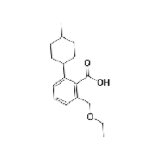 CCOCc1cccc(C2CCC(C)CC2)c1C(=O)O